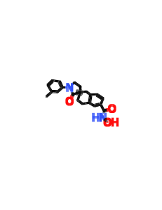 Cc1cccc(N2CC[C@@]3(CCc4cc(C(=O)NO)ccc4C3)C2=O)c1